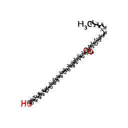 CCCCC/C=C\C/C=C\CCCCCCCC(=O)OCCCCCCCCCCCCCCCCCCCCCCCCCCCCCCCO